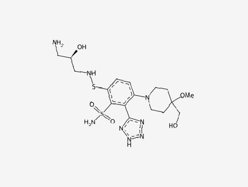 COC1(CO)CCN(c2ccc(SNC[C@H](O)CN)c(S(N)(=O)=O)c2-c2nn[nH]n2)CC1